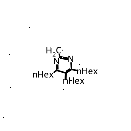 [CH2]c1nc(CCCCCC)c(CCCCCC)c(CCCCCC)n1